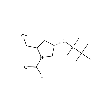 CC(C)(C)[Si](C)(C)O[C@H]1CC(CO)N(C(=O)O)C1